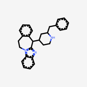 c1ccc(CC2CC(C3c4ccccc4CCn4c3nc3ccccc34)CCN2)cc1